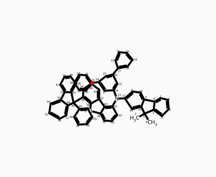 CC1(C)c2ccccc2-c2ccc(N(c3cc(-c4ccccc4)cc(-c4ccccc4)c3)c3cccc4oc5c(C6(c7ccccc7)c7ccccc7-c7ccccc76)cccc5c34)cc21